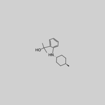 CC(C)(O)c1ccccc1N[C@H]1CC[C@H](C)CC1